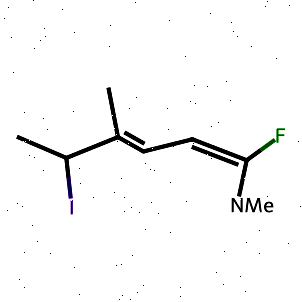 CN/C(F)=C\C=C(/C)C(C)I